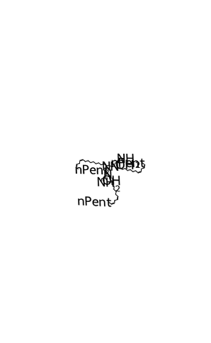 CCCCC/C=C\C/C=C\CCCCCCCCN(CCN(CCCCCCCC/C=C\C/C=C\CCCCC)CC(O)CN)CCN(CCCCCCCC/C=C\C/C=C\CCCCC)CC(O)CN